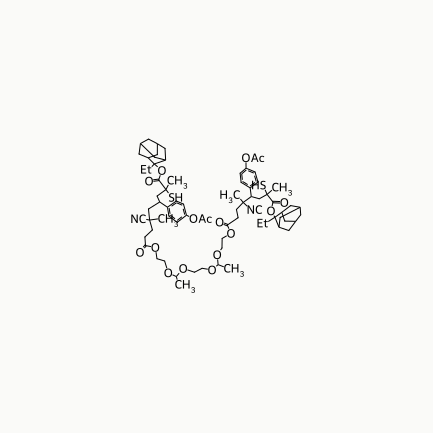 [C-]#[N+]C(C)(CCC(=O)OCCOC(C)OCCOC(C)OCCOC(=O)CCC(C)(C#N)CC(CC(C)(S)C(=O)OC1(CC)C2CC3CC(C2)CC1C3)c1ccc(OC(C)=O)cc1)C(CC(C)(S)C(=O)OC1(CC)C2CC3CC(C2)CC1C3)c1ccc(OC(C)=O)cc1